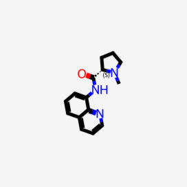 CN1CCC[C@H]1C(=O)Nc1cccc2cccnc12